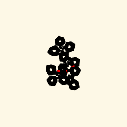 c1ccc(S(c2ccccc2)(c2ccccc2)c2ccc3c(c2)c2ccccc2n3-c2ccccc2-c2ccccc2-n2c3ccccc3c3ccc(S(c4ccccc4)(c4ccccc4)c4ccccc4)cc32)cc1